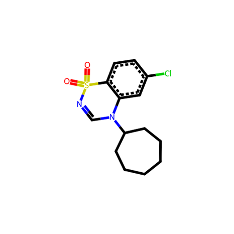 O=S1(=O)N=CN(C2CCCCCC2)c2cc(Cl)ccc21